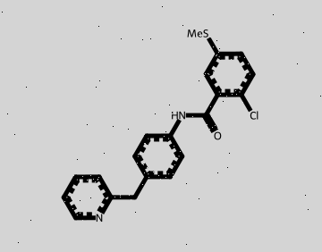 CSc1ccc(Cl)c(C(=O)Nc2ccc(Cc3ccccn3)cc2)c1